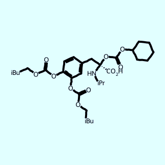 CCC(C)COC(=O)Oc1ccc(C[C@](NC(C)C)(OC(=O)OC2CCCCC2)C(=O)O)cc1OC(=O)OCC(C)CC